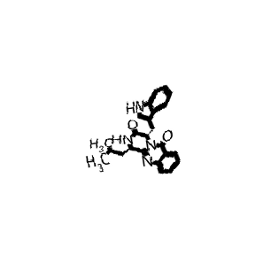 CC(C)C[C@H]1NC(=O)[C@H](Cc2c[nH]c3ccccc23)n2c1nc1ccccc1c2=O